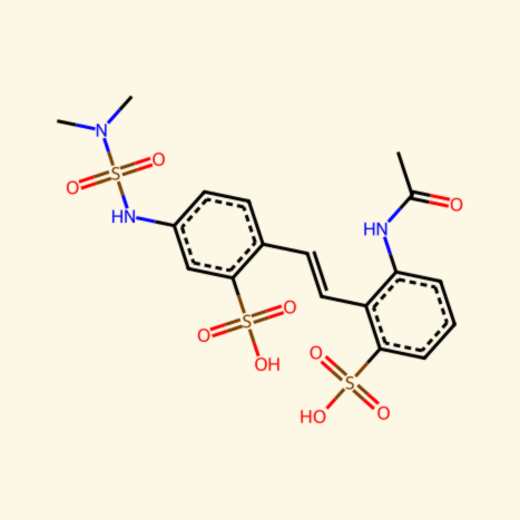 CC(=O)Nc1cccc(S(=O)(=O)O)c1C=Cc1ccc(NS(=O)(=O)N(C)C)cc1S(=O)(=O)O